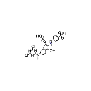 CCS(=O)(=O)c1ccc(/N=N/c2c(SOOO)cc3cc(Nc4nc(Cl)nc(Cl)n4)ccc3c2O)cc1